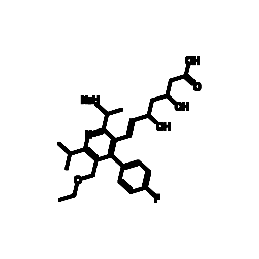 CCOCc1c(C(C)C)nc(C(C)C)c(C=CC(O)CC(O)CC(=O)O)c1-c1ccc(F)cc1.[NaH]